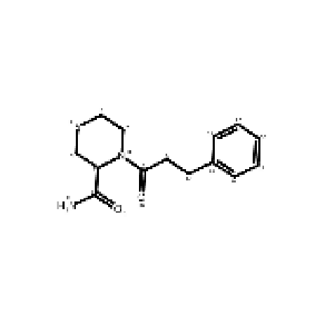 NC(=O)C1CSCCN1C(=O)[CH]Cc1ccccc1